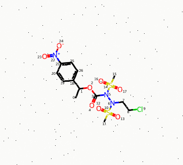 CC(OC(=O)N(N(CCCl)S(C)(=O)=O)S(C)(=O)=O)c1ccc([N+](=O)[O-])cc1